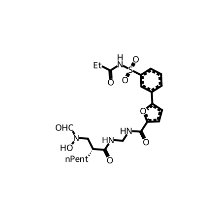 CCCCC[C@H](CN(O)C=O)C(=O)NCNC(=O)c1ccc(-c2cccc(S(=O)(=O)NC(=O)CC)c2)o1